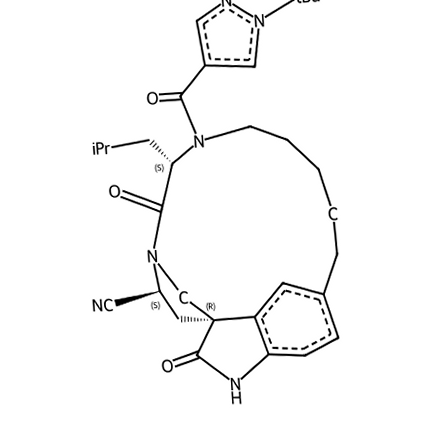 CC(C)C[C@H]1C(=O)N2C[C@]3(C[C@H]2C#N)C(=O)Nc2ccc(cc23)CCCCCN1C(=O)c1cnn(C(C)(C)C)c1